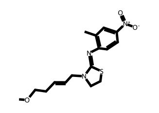 COCCC=CCN1CCSC1=Nc1ccc([N+](=O)[O-])cc1C